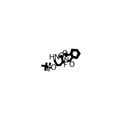 CC(C)(C)[Si](C)(C)OC1CNC(=O)C(F)(N2C(=O)c3ccccc3C2=O)C1